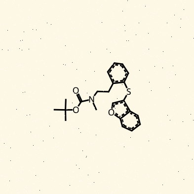 CN(CCc1ccccc1Sc1coc2ccccc12)C(=O)OC(C)(C)C